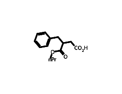 CCCOC(=O)C(CC(=O)O)Cc1ccccc1